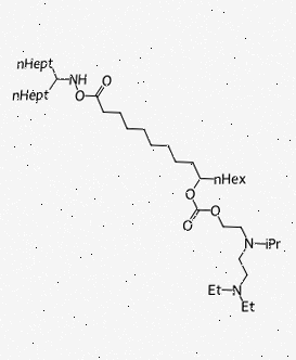 CCCCCCCC(CCCCCCC)NOC(=O)CCCCCCCCC(CCCCCC)OC(=O)OCCN(CCN(CC)CC)C(C)C